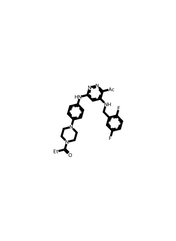 CCC(=O)N1CCN(c2ccc(Nc3cc(NCc4cc(F)ccc4F)c(C(C)=O)nn3)cc2)CC1